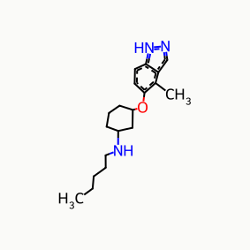 CCCCCNC1CCCC(Oc2ccc3[nH]ncc3c2C)C1